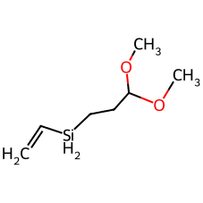 C=C[SiH2]CCC(OC)OC